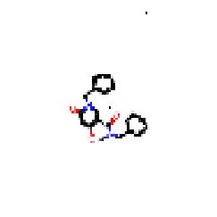 CN(Cc1ccccc1)C(=O)c1cn(Cc2ccccc2)c(=O)cc1O